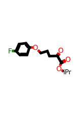 CC(C)OC(=O)C(=O)CCCOc1ccc(F)cc1